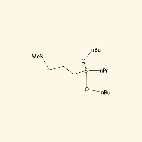 CCCCO[Si](CCC)(CCCNC)OCCCC